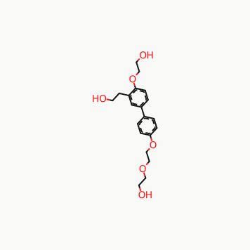 OCCOCCOc1ccc(-c2ccc(OCCO)c(CCO)c2)cc1